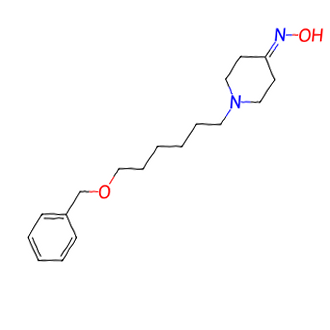 ON=C1CCN(CCCCCCOCc2ccccc2)CC1